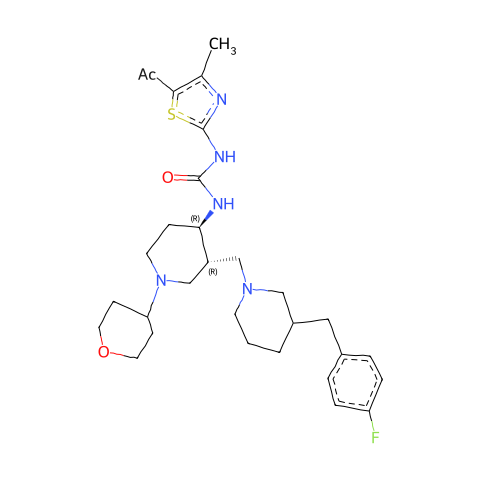 CC(=O)c1sc(NC(=O)N[C@@H]2CCN(C3CCOCC3)C[C@H]2CN2CCCC(Cc3ccc(F)cc3)C2)nc1C